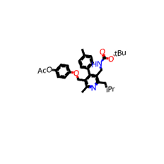 CC(=O)Oc1ccc(OCc2c(C)nc(CC(C)C)c(CNC(=O)OC(C)(C)C)c2-c2ccc(C)cc2)cc1